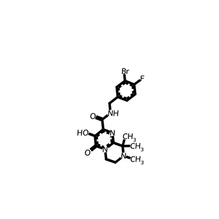 CN1CCn2c(nc(C(=O)NCc3ccc(F)c(Br)c3)c(O)c2=O)C1(C)C